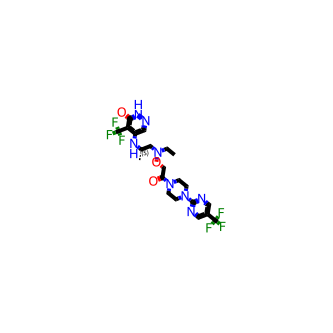 CCN(C[C@H](C)Nc1cn[nH]c(=O)c1C(F)(F)F)OCC(=O)N1CCN(c2ncc(C(F)(F)F)cn2)CC1